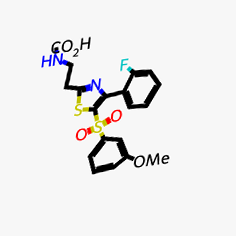 COc1cccc(S(=O)(=O)c2sc(CCNC(=O)O)nc2-c2ccccc2F)c1